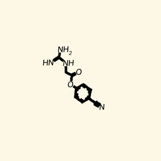 N#Cc1ccc(OC(=O)CNC(=N)N)cc1